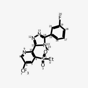 CCS(=O)(=O)c1cc(C(F)(F)F)cnc1-c1nnc(-c2cccc(F)c2)n1C